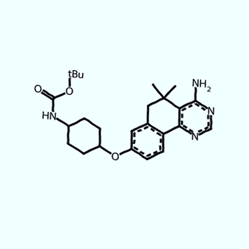 CC(C)(C)OC(=O)NC1CCC(Oc2ccc3c(c2)CC(C)(C)c2c(N)ncnc2-3)CC1